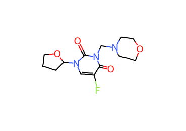 O=c1c(F)cn(C2CCCO2)c(=O)n1CN1CCOCC1